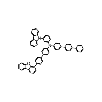 c1ccc(-c2ccc(-c3ccc(N(c4ccc(-c5ccc(-c6cccc7c6oc6ccccc67)cc5)cc4)c4cccc(-n5c6ccccc6c6ccccc65)c4)cc3)cc2)cc1